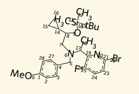 COc1ccc(CN(CC(O[Si](C)(C)C(C)(C)C)C2CC2)C(C)c2nc(Br)ccc2F)cc1